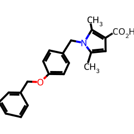 Cc1cc(C(=O)O)c(C)n1Cc1ccc(OCc2ccccc2)cc1